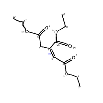 CCOC(=O)/C=C(/CC(=O)OCC)C(=O)OCC